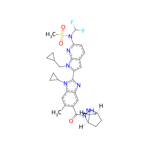 Cc1cc2c(cc1C(=O)N1C[C@H]3CC[C@@H]1[C@@H]3N)nc(-c1cc3ccc(N(C(F)F)S(C)(=O)=O)nc3n1CC1CC1)n2C1CC1